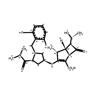 C[C@@H](O)[C@H]1C(=O)N2C(C(=O)O)=C(S[C@H]3C[C@@H](C(=O)N(C)C)N(Cc4c(F)cccc4F)C3)[C@H](C)[C@H]12